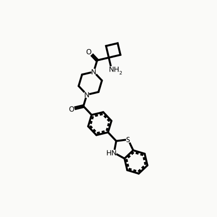 NC1(C(=O)N2CCN(C(=O)c3ccc(C4Nc5ccccc5S4)cc3)CC2)CCC1